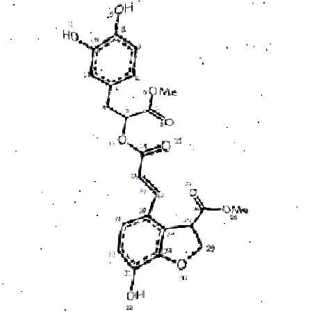 COC(=O)C(Cc1ccc(O)c(O)c1)OC(=O)/C=C/c1ccc(O)c2c1C(C(=O)OC)CO2